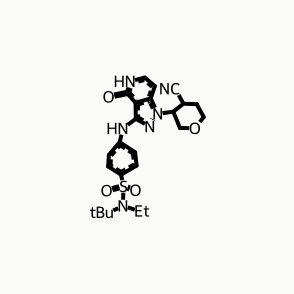 CCN(C(C)(C)C)S(=O)(=O)c1ccc(Nc2nn(C3COCCC3C#N)c3cc[nH]c(=O)c23)cc1